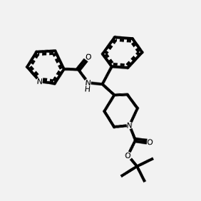 CC(C)(C)OC(=O)N1CCC(C(NC(=O)c2cccnc2)c2ccccc2)CC1